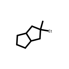 CCC1(C)CC2CCCC2C1